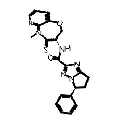 CN1C(=S)[C@@H](NC(=O)c2nc3n(n2)[C@H](c2ccccc2)CC3)COc2cccnc21